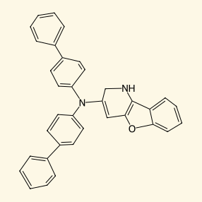 C1=C(N(c2ccc(-c3ccccc3)cc2)c2ccc(-c3ccccc3)cc2)CNc2c1oc1ccccc21